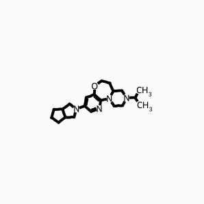 CC(C)N1CCN2c3ncc(N4CC5CCCC5C4)cc3OCCC2C1